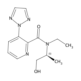 CCN(C(=O)c1ncccc1-n1nccn1)[C@@H](C)CO